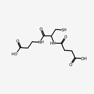 O=C(O)CCNC(=O)C(CS)NC(=O)CCC(=O)O